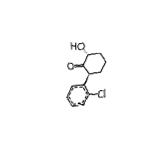 O=C1[C@H](O)CCC[C@H]1c1ccccc1Cl